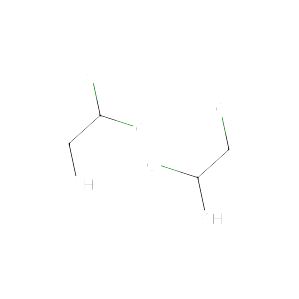 CC(Cl)CCl.CCC(Cl)Cl